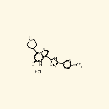 Cl.O=c1cc(C2CCNCC2)n2ncc(-c3nc(-c4ccc(C(F)(F)F)nc4)no3)c2[nH]1